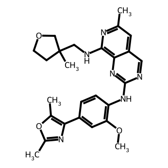 COc1cc(-c2nc(C)oc2C)ccc1Nc1ncc2cc(C)nc(NCC3(C)CCOC3)c2n1